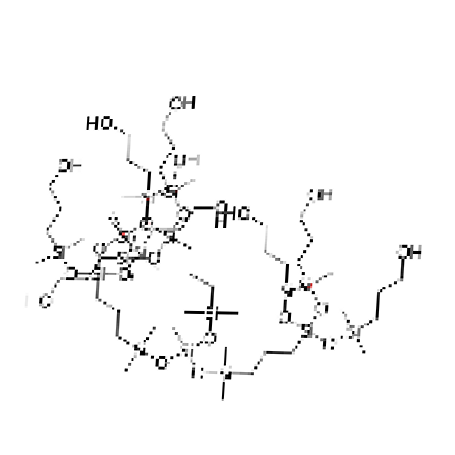 C[Si](C)(CCC[Si](O[Si](C)(C)CCCO)(O[Si](C)(C)CCCO)O[Si](C)(C)CCCO)O[Si](C)(O[Si](C)(C)CCC[Si](O[Si](C)(C)CCCO)(O[Si](C)(C)CCCO)O[Si](C)(C)CCCO)O[Si](C)(C)CCC[Si](O[Si](C)(C)CCCO)(O[Si](C)(C)CCCO)O[Si](C)(C)CCCO